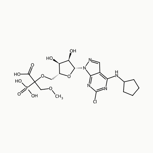 COCC(OC[C@H]1O[C@@H](n2ncc3c(NC4CCCC4)nc(Cl)nc32)[C@H](O)[C@@H]1O)(C(=O)O)P(=O)(O)O